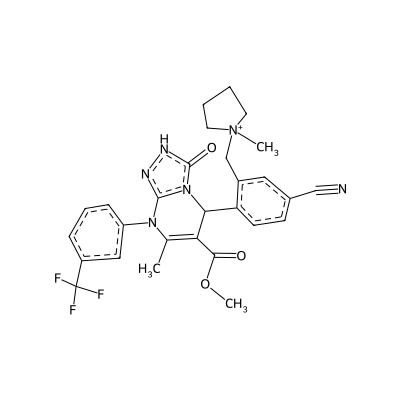 COC(=O)C1=C(C)N(c2cccc(C(F)(F)F)c2)c2n[nH]c(=O)n2C1c1ccc(C#N)cc1C[N+]1(C)CCCC1